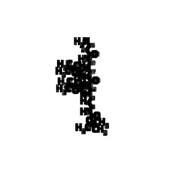 CC(C)(C)OC(=O)NCCC[C@@H](CNC(=O)[C@H](CCCNC(=O)CCN)NC(=O)OC(C)(C)C)NC(=O)OC(C)(C)C